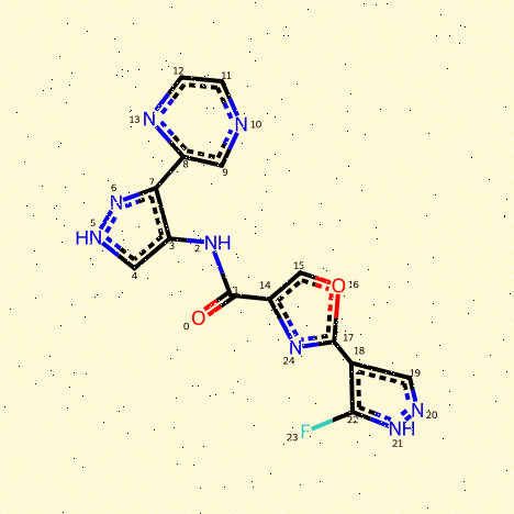 O=C(Nc1c[nH]nc1-c1cnccn1)c1coc(-c2cn[nH]c2F)n1